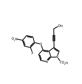 O=C(O)n1cc(C#CCO)c2c(Oc3ccc([N+](=O)[O-])cc3F)ccnc21